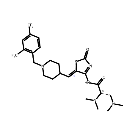 CN(C)C[C@@H](C(=O)NC1=NC(=O)S/C1=C\C1CCN(Cc2ccc(C(F)(F)F)cc2C(F)(F)F)CC1)N(C)C